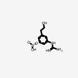 N=C(N)Nc1cccc(CCO)c1.O=[N+]([O-])O